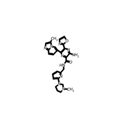 Cc1cnc2ccc(-c3nc(C(=O)NCc4cccc(N5CCCN(C)C5)n4)c(N)nc3-c3ncco3)cn12